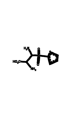 NC(C(=O)O)C(N)S(=O)(=O)c1cccs1